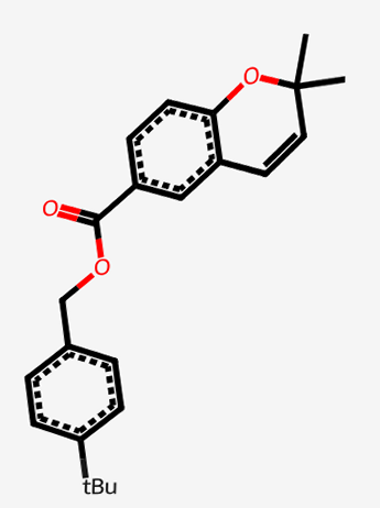 CC1(C)C=Cc2cc(C(=O)OCc3ccc(C(C)(C)C)cc3)ccc2O1